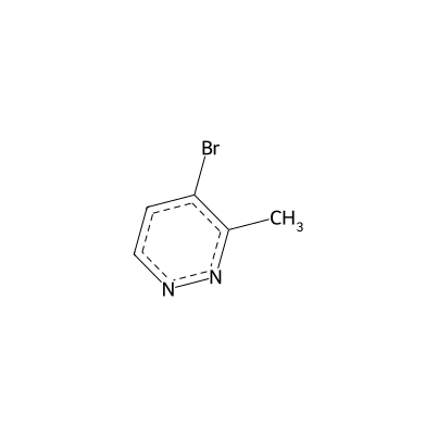 Cc1nnccc1Br